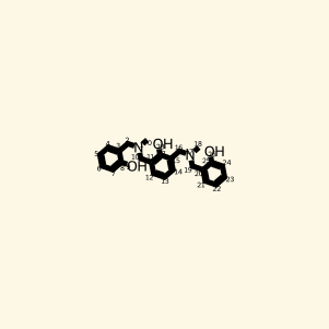 CN(Cc1ccccc1O)Cc1cccc(CN(C)Cc2ccccc2O)c1O